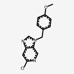 COc1ccc(Cn2cnc3cc(Cl)ncc32)cc1